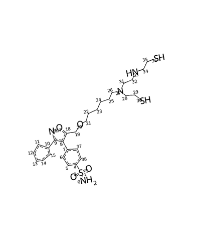 NS(=O)(=O)c1ccc(-c2c(-c3ccccc3)noc2COCCCCCCN(CCS)CCNCCS)cc1